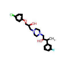 CC(c1cccc(F)c1)C(O)CN1CCN(CC(O)COc2ccc(Cl)cc2)CC1